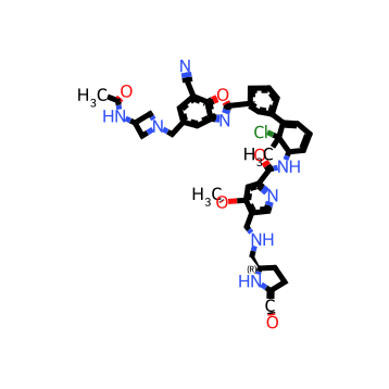 COc1cc(C(=O)NC2C=CC=C(c3cccc(-c4nc5cc(CN6CC(NC(C)=O)C6)cc(C#N)c5o4)c3)C2(C)Cl)ncc1CNC[C@H]1CCC(=C=O)N1